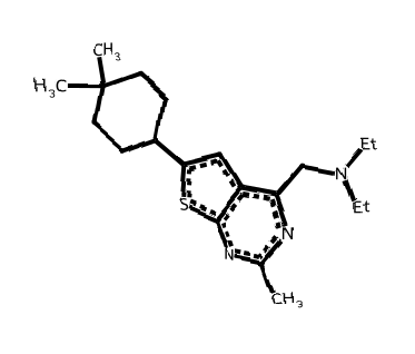 CCN(CC)Cc1nc(C)nc2sc(C3CCC(C)(C)CC3)cc12